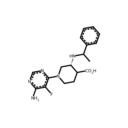 CC(N[C@H]1CN(c2ncnc(N)c2F)CCC1C(=O)O)c1ccccc1